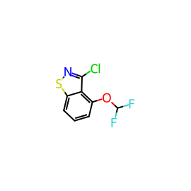 FC(F)Oc1cccc2snc(Cl)c12